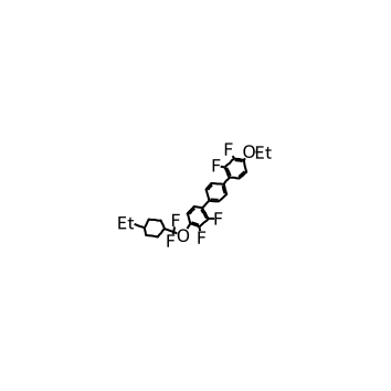 CCOc1ccc(-c2ccc(-c3ccc(OC(F)(F)C4CCC(CC)CC4)c(F)c3F)cc2)c(F)c1F